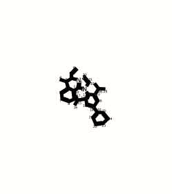 C=CC1C(C)c2ccccc2-c2n(-c3c(C(C)C)cc(-c4ccccc4)cc3C(C)C)cc[n+]21